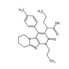 CCCC(C(=O)O)c1c(-c2ccc(C)cc2)c2c(nc3n2CCCC3)n(CCC)c1=O